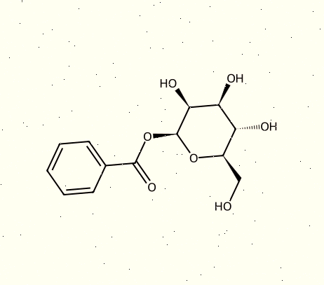 O=C(O[C@@H]1O[C@H](CO)[C@@H](O)[C@H](O)[C@@H]1O)c1ccccc1